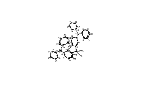 CC1(C)C2=CC(N(c3ccccc3)c3ccccc3)CC=C2c2c(N(c3ccccc3)c3ccccc3)cccc21